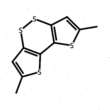 Cc1cc2c(s1)-c1sc(C)cc1SS2